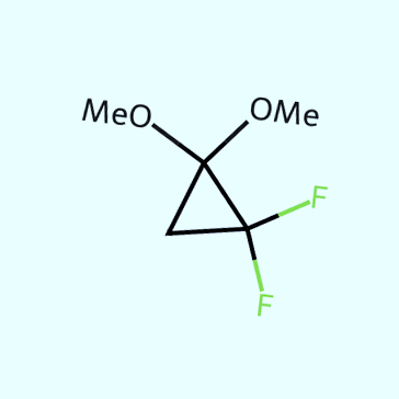 COC1(OC)CC1(F)F